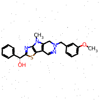 COc1cccc(CN2Cc3c(c4sc([C@H](O)c5ccccc5)nc4n3C)C=N2)c1